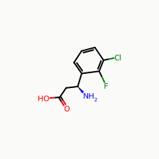 N[C@@H](CC(=O)O)c1cccc(Cl)c1F